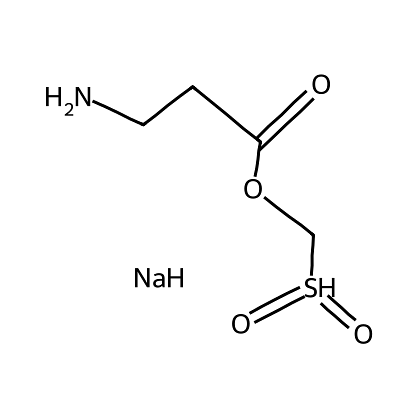 NCCC(=O)OC[SH](=O)=O.[NaH]